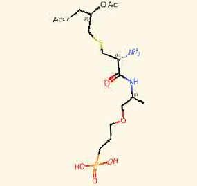 CC(=O)OC[C@H](CSC[C@H](N)C(=O)N[C@@H](C)COCCCP(=O)(O)O)OC(C)=O